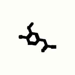 COc1cc(CC(=O)O)cnc1Cl